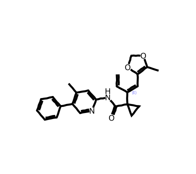 C=C/C(=C\C1=C(C)OCO1)C1(C(=O)Nc2cc(C)c(-c3ccccc3)cn2)CC1